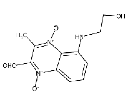 Cc1c(C=O)[n+]([O-])c2cccc(NCCO)c2[n+]1[O-]